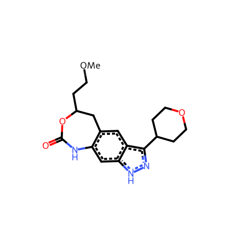 COCCC1Cc2cc3c(C4CCOCC4)n[nH]c3cc2NC(=O)O1